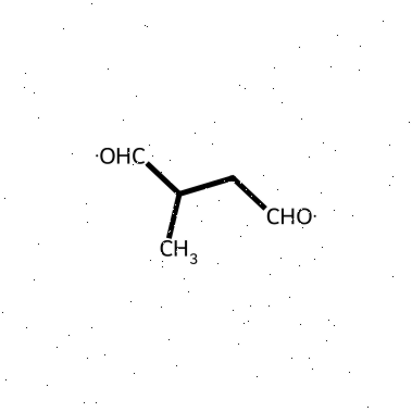 CC([C]=O)C[C]=O